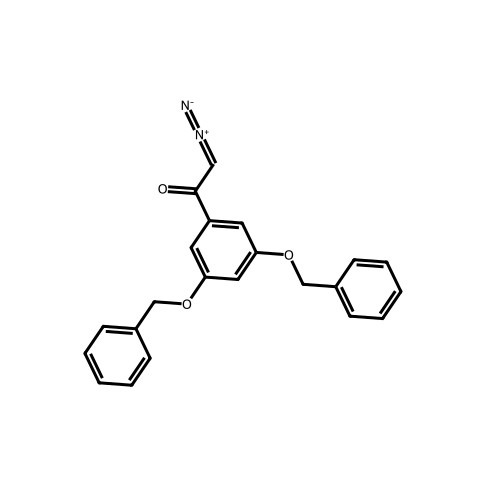 [N-]=[N+]=CC(=O)c1cc(OCc2ccccc2)cc(OCc2ccccc2)c1